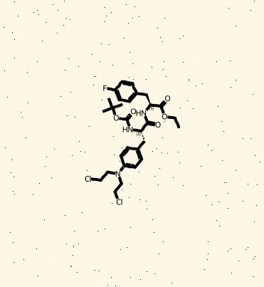 CCOC(=O)[C@H](Cc1ccc(F)cc1)NC(=O)[C@H](Cc1ccc(N(CCCl)CCCl)cc1)NC(=O)OC(C)(C)C